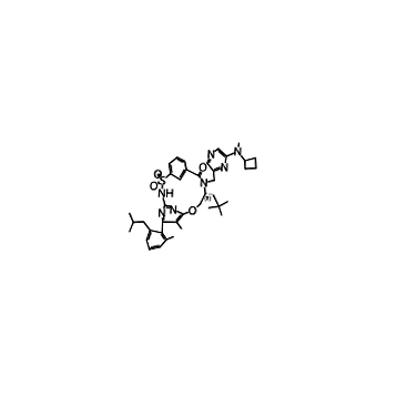 Cc1cccc(CC(C)C)c1-c1nc2nc(c1C)OC[C@@H](CC(C)(C)C)N(Cc1cncc(N(C)C3CCC3)n1)C(=O)c1cccc(c1)S(=O)(=O)N2